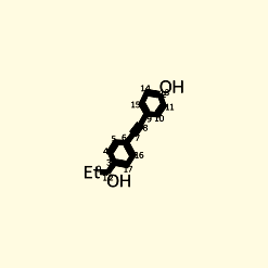 CCC(O)c1ccc(C#Cc2ccc(O)cc2)cc1